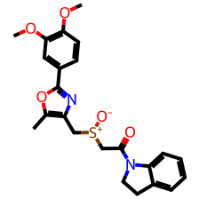 COc1ccc(-c2nc(C[S+]([O-])CC(=O)N3CCc4ccccc43)c(C)o2)cc1OC